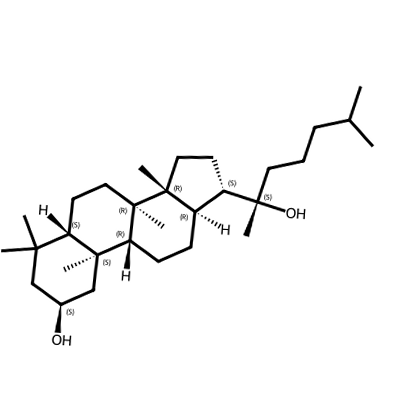 CC(C)CCC[C@](C)(O)[C@H]1CC[C@]2(C)[C@@H]1CC[C@@H]1[C@@]3(C)C[C@@H](O)CC(C)(C)[C@@H]3CC[C@]12C